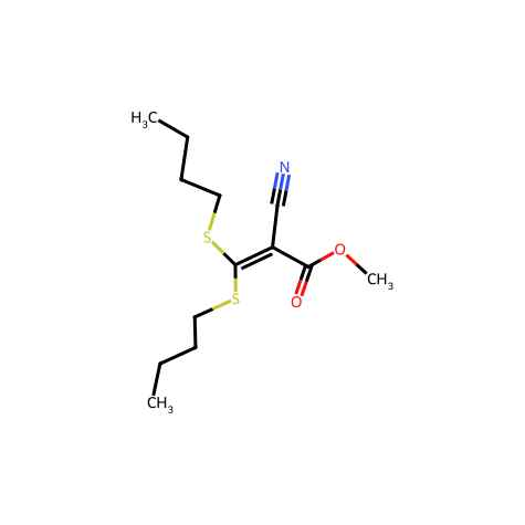 CCCCSC(SCCCC)=C(C#N)C(=O)OC